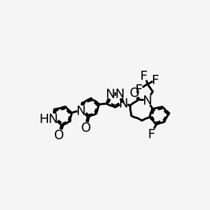 O=C1C(n2cc(-c3ccn(-c4cc[nH]c(=O)c4)c(=O)c3)nn2)CCc2c(F)cccc2N1CC(F)(F)F